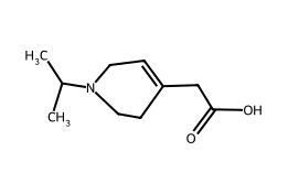 CC(C)N1CC=C(CC(=O)O)CC1